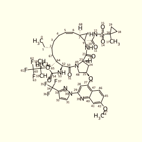 CC[C@@H]1CC/C=C\[C@H]2C[C@@]2(C(=O)NS(=O)(=O)C2(C)CC2)NC(=O)[C@@H]2C[C@@H](Oc3cc(-n4ccc(C(F)(F)F)n4)nc4cc(OC)ccc34)CN2C(=O)[C@@H](NC(=O)OC(C)(C)C(F)(F)F)[C@H](CC)C1